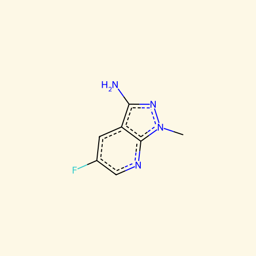 Cn1nc(N)c2cc(F)cnc21